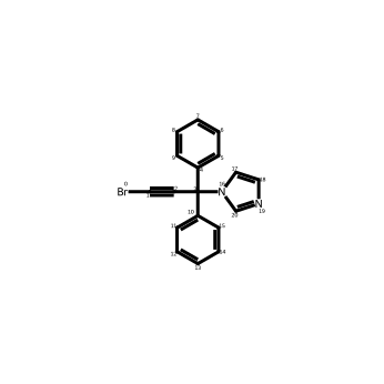 BrC#CC(c1ccccc1)(c1ccccc1)n1ccnc1